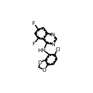 Fc1cc(F)c2c(Nc3c(Cl)ccc4c3OCO4)ncnc2c1